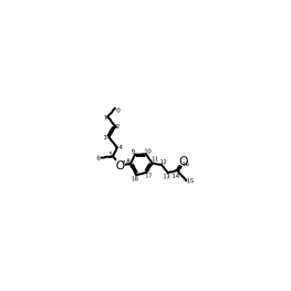 CCC=CCC(C)Oc1ccc(CCC(C)=O)cc1